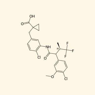 COc1cc(C(C(=O)Nc2cc(CC3(C(=O)O)CC3)ccc2Cl)[C@@H](C)C(F)(F)F)ccc1Cl